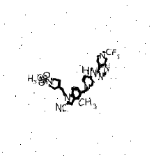 Cc1c(CN2CCC(Nc3ncnc4c3CCN(CC(F)(F)F)C4)CC2)ccc2c1cc(C#N)n2CCC1CCN(S(C)(=O)=O)CC1